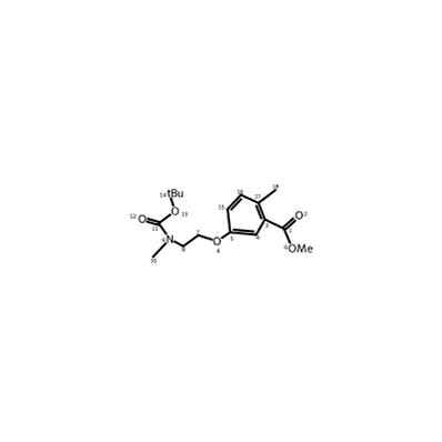 COC(=O)c1cc(OCCN(C)C(=O)OC(C)(C)C)ccc1C